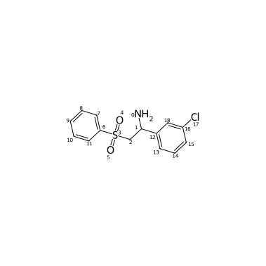 NC(CS(=O)(=O)c1ccccc1)c1cccc(Cl)c1